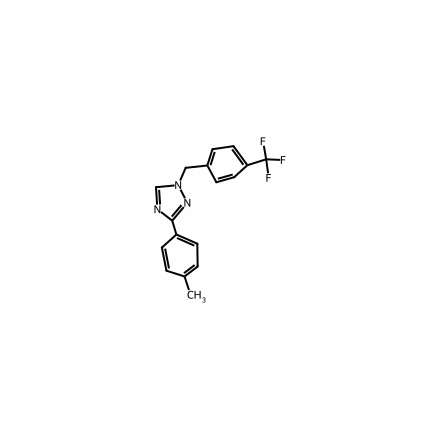 Cc1ccc(-c2ncn(Cc3ccc(C(F)(F)F)cc3)n2)cc1